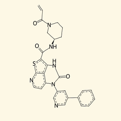 C=CC(=O)N1CCC[C@@H](NC(=O)c2sc3nccc4c3c2NC(=O)N4c2cncc(-c3ccccc3)c2)C1